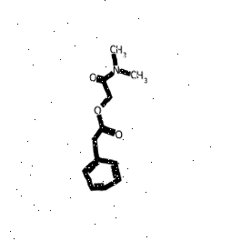 CN(C)C(=O)COC(=O)Cc1[c]cccc1